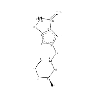 C[C@H]1CCCN(Cc2cc3c(s2)C(=O)NC3)C1